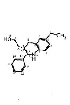 CCc1ccc2c(c1)C[C@@H](CCO)[C@H](c1ccccc1)N2